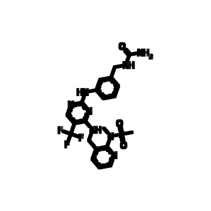 CN(c1ncccc1CNc1nc(Nc2cccc(CNC(N)=O)c2)ncc1C(F)(F)F)S(C)(=O)=O